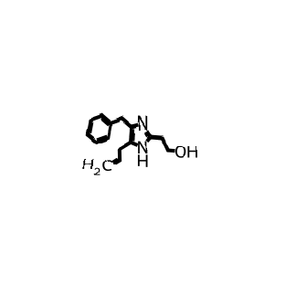 C=CCc1[nH]c(CCO)nc1Cc1ccccc1